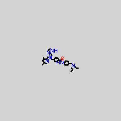 CCCN(CCC)Cc1ccc(NC(=O)c2ccc(CN(Cc3ncc[nH]3)Cc3ncc(C)cc3C)cc2)cc1